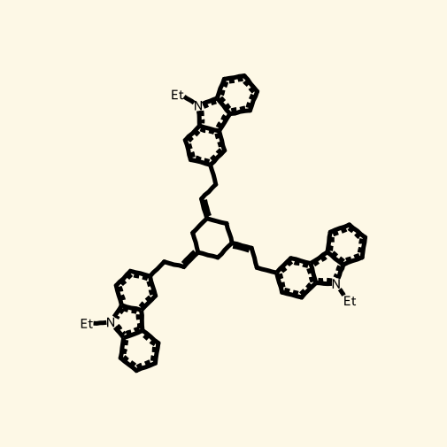 CCn1c2ccccc2c2cc(CC=C3CC(=CCc4ccc5c(c4)c4ccccc4n5CC)CC(=CCc4ccc5c(c4)c4ccccc4n5CC)C3)ccc21